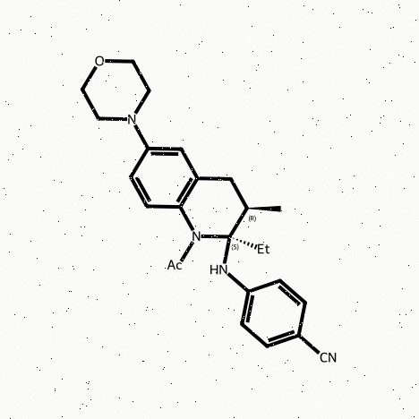 CC[C@@]1(Nc2ccc(C#N)cc2)[C@H](C)Cc2cc(N3CCOCC3)ccc2N1C(C)=O